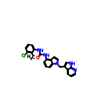 Cc1c(Cl)cccc1NC(=O)Nc1cccc2c1ccn2Cc1c[nH]c2ncccc12